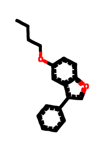 CCCCOc1ccc2occ(-c3ccccc3)c2c1